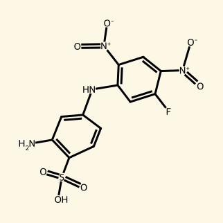 Nc1cc(Nc2cc(F)c([N+](=O)[O-])cc2[N+](=O)[O-])ccc1S(=O)(=O)O